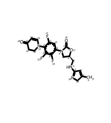 CC1=CC(NC[C@H]2CN(c3cc(F)c(N4C=CC(=O)CC4)c(F)c3F)C(=O)O2)=NC1